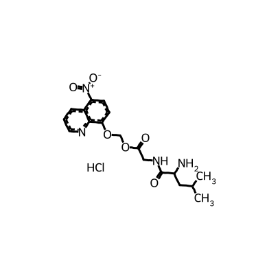 CC(C)CC(N)C(=O)NCC(=O)OCOc1ccc([N+](=O)[O-])c2cccnc12.Cl